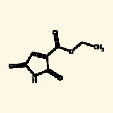 CCOC(=O)C1=CC(=O)NC1=O